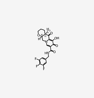 C[C@]12CCCO[C@H]1Cn1cc(C(=O)NCc3cc(F)c(F)c(F)c3)c(=O)c(O)c1C2=O